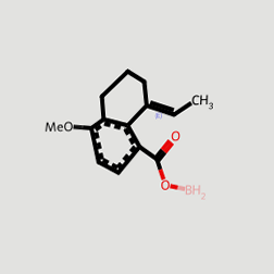 BOC(=O)c1ccc(OC)c2c1/C(=C/C)CCC2